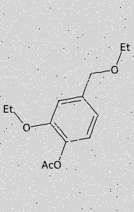 CCOCc1ccc(OC(C)=O)c(OCC)c1